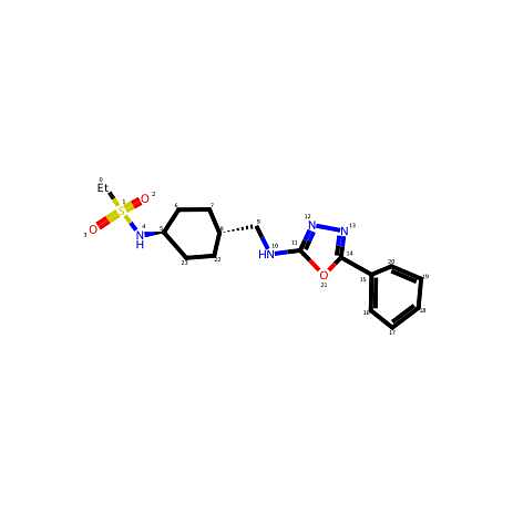 CCS(=O)(=O)N[C@H]1CC[C@H](CNc2nnc(-c3ccccc3)o2)CC1